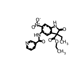 CCOC(=O)C1(CC)C(=O)Nc2cc([N+](=O)[O-])c(NC(=O)c3cccnc3)cc21